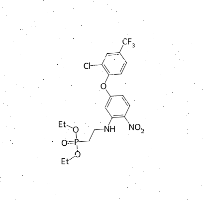 CCOP(=O)(CCNc1cc(Oc2ccc(C(F)(F)F)cc2Cl)ccc1[N+](=O)[O-])OCC